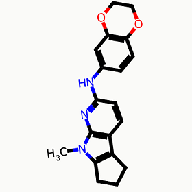 Cn1c2c(c3ccc(Nc4ccc5c(c4)OCCO5)nc31)CCC2